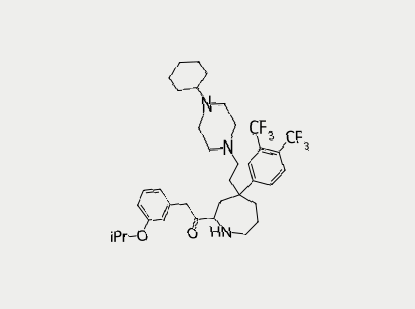 CC(C)Oc1cccc(CC(=O)C2CC(CCN3CCN(C4CCCCC4)CC3)(c3ccc(C(F)(F)F)c(C(F)(F)F)c3)CCCN2)c1